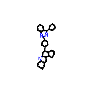 c1ccc(-c2nc(-c3ccc(-c4cc5nc6ccccc6cc5c5ccccc45)cc3)nc3ccccc23)cc1